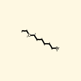 CCOCCCCCCBr